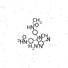 C=CC(=O)Nc1ccc(-c2c(-c3ccc(NC(=O)C4CC4)cc3)c3c(N)ncc(C#N)c3n2C)cc1